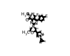 CC1CN(c2nc(-c3ccc(F)cc3F)c3cnn(C)c(=O)c3n2)CC(c2cnn(C3CC3)c2)O1